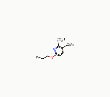 COc1ccc(OCCC(C)C)nc1C(=O)O